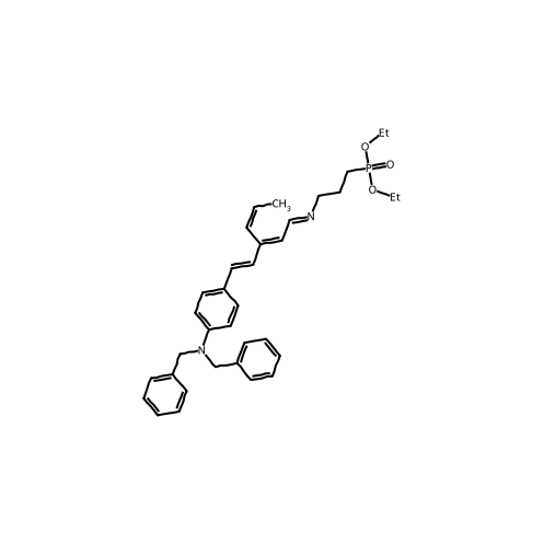 C\C=C/C(C=Cc1ccc(N(Cc2ccccc2)Cc2ccccc2)cc1)=C\C=N\CCCP(=O)(OCC)OCC